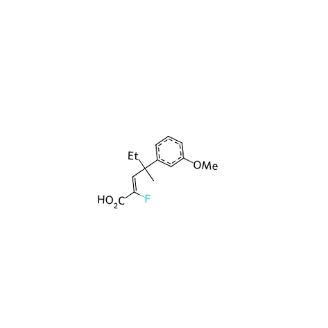 CCC(C)(C=C(F)C(=O)O)c1cccc(OC)c1